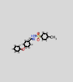 Cc1ccc(S(=O)(=O)N/N=C/c2ccc(Oc3ccccc3)cc2)cc1